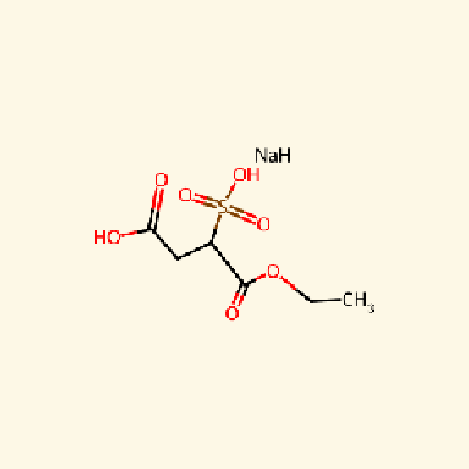 CCOC(=O)C(CC(=O)O)S(=O)(=O)O.[NaH]